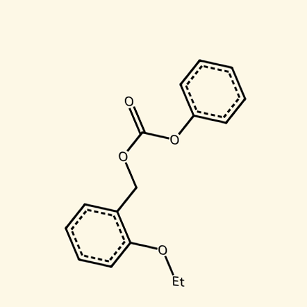 CCOc1ccccc1COC(=O)Oc1ccccc1